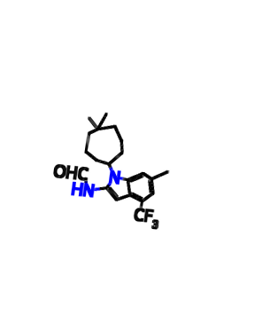 Cc1cc(C(F)(F)F)c2cc(NC=O)n(C3CCCC(C)(C)CCC3)c2c1